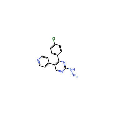 NNc1ncc(-c2ccncc2)c(-c2ccc(Cl)cc2)n1